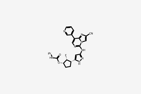 CC(C)NC(=O)O[C@H]1CC[C@@H](c2cc(Nc3ncc(-c4cccnc4)c4nc(C#N)cn34)n[nH]2)[C@H]1F